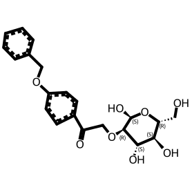 O=C(CO[C@@H]1[C@@H](O)[C@H](O)[C@@H](CO)O[C@@H]1O)c1ccc(OCc2ccccc2)cc1